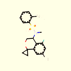 CN(C1COC2(CC2)c2cc(C(F)(F)F)cc(F)c21)S(=O)(=O)c1ccccc1[N+](=O)[O-]